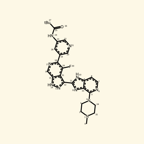 CN1CCN(c2nccc3[nH]c(-c4n[nH]c5cnc(-c6cncc(NC(=O)C(C)(C)C)c6)c(F)c45)nc23)CC1